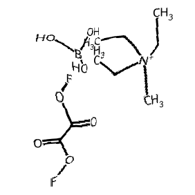 CC[N+](CC)(CC)CC.O=C(OF)C(=O)OF.OB(O)O